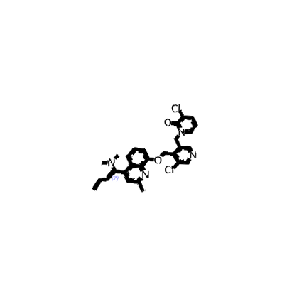 C=C/C=C(/c1cc(C)nc2c(OCc3c(Cl)cncc3Cn3cccc(Cl)c3=O)cccc12)N(C)C